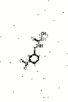 CNC(=S)NCc1cccc([N+](=O)[O-])c1